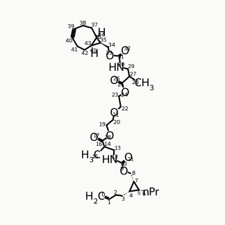 C=CCC[C@H]1[C@@H](CCC)[C@H]1COC(=O)NCC(C)C(=O)OCCOCCOC(=O)C(C)CNC(=O)OC[C@@H]1[C@@H]2CCC#CCC[C@@H]21